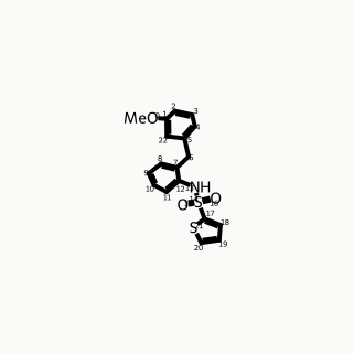 COc1cccc(Cc2ccccc2NS(=O)(=O)c2cccs2)c1